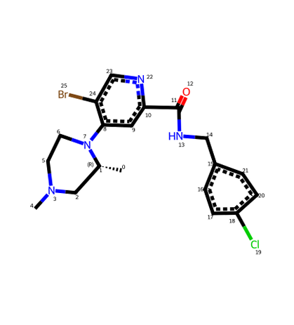 C[C@@H]1CN(C)CCN1c1cc(C(=O)NCc2ccc(Cl)cc2)ncc1Br